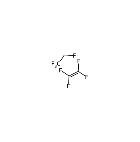 FC(F)=C(F)F.FCC(F)(F)F